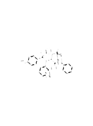 CC(C)C(=O)C(C(=O)Nc1ccccc1)C(C(=O)c1ccc(F)cc1)c1cccnc1